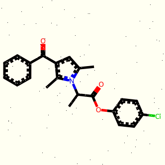 Cc1cc(C(=O)c2ccccc2)c(C)n1C(C)C(=O)Oc1ccc(Cl)cc1